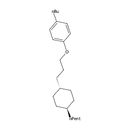 CCCCC[C@H]1CC[C@H](CCCOc2ccc(CCCC)cc2)CC1